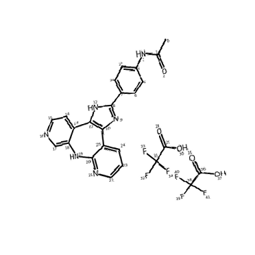 CC(=O)Nc1ccc(-c2nc3c([nH]2)-c2ccncc2Nc2ncccc2-3)cc1.O=C(O)C(F)(F)F.O=C(O)C(F)(F)F